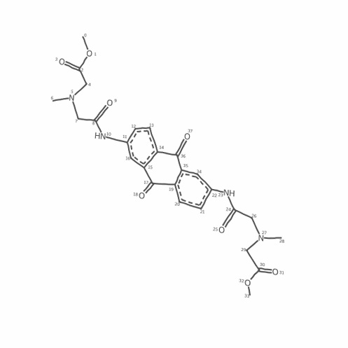 COC(=O)CN(C)CC(=O)Nc1ccc2c(c1)C(=O)c1ccc(NC(=O)CN(C)CC(=O)OC)cc1C2=O